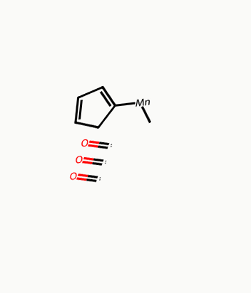 [CH3][Mn][C]1=CC=CC1.[C]=O.[C]=O.[C]=O